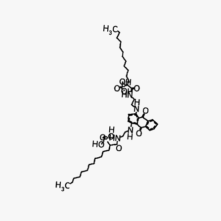 CCCCCCCCCCCCC(C(=O)NCCNc1ccc(NCCNC(=O)C(CCCCCCCCCCCC)P(=O)(O)O)c2c1C(=O)c1ccccc1C2=O)P(=O)(O)O